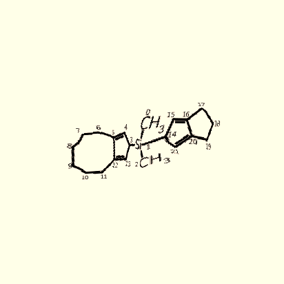 C[Si](C)(C1C=C2CCCCCCC2=C1)C1C=C2CCCC2=C1